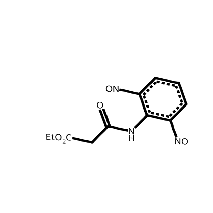 CCOC(=O)CC(=O)Nc1c(N=O)cccc1N=O